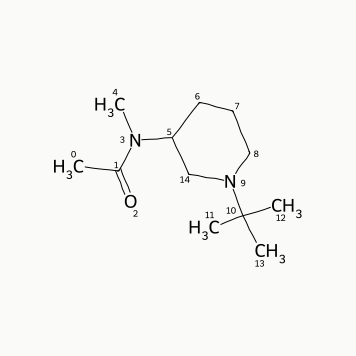 CC(=O)N(C)C1CCCN(C(C)(C)C)C1